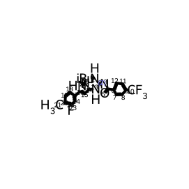 CCC(C)N/C(=N/C(=O)c1ccc(C(F)(F)F)cc1)Nc1cc(-c2ccc(C)c(F)c2)[nH]n1